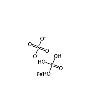 O=P(O)(O)O.O=S(=O)([O-])[O-].[Fe+2]